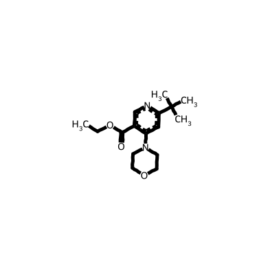 CCOC(=O)c1cnc(C(C)(C)C)cc1N1CCOCC1